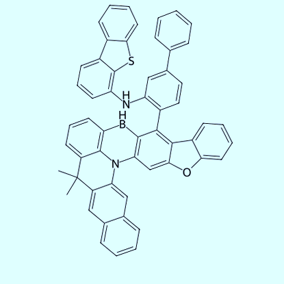 CC1(C)c2cc3ccccc3cc2N2c3cc4oc5ccccc5c4c(-c4ccc(-c5ccccc5)cc4Nc4cccc5c4sc4ccccc45)c3Bc3cccc1c32